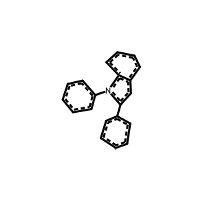 [c]1ccc(-c2cc3ccccc3n2-c2ccccc2)cc1